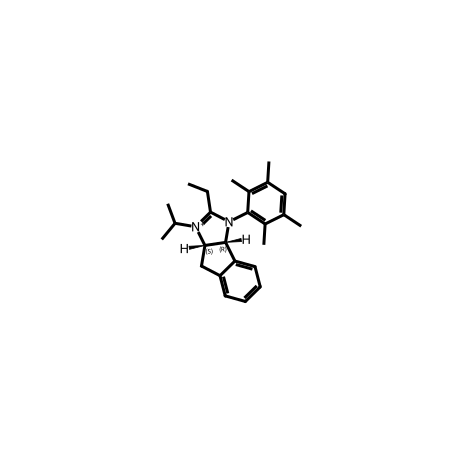 CCC1=[N+](C(C)C)[C@H]2Cc3ccccc3[C@H]2N1c1c(C)c(C)cc(C)c1C